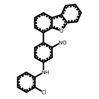 O=Nc1cc(Nc2ccccc2Cl)ccc1-c1cccc2c1oc1ccccc12